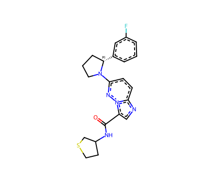 O=C(NC1CCSC1)c1cnc2ccc(N3CCC[C@@H]3c3cccc(F)c3)nn12